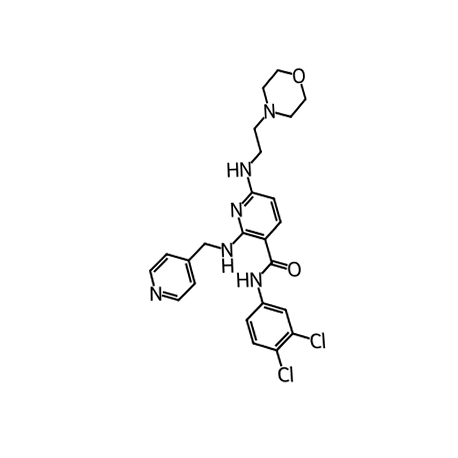 O=C(Nc1ccc(Cl)c(Cl)c1)c1ccc(NCCN2CCOCC2)nc1NCc1ccncc1